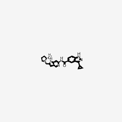 C[C@H]1CCCN1Cc1cc2cnc(NC(=O)c3ccc4[nH]nc(C5CC5)c4c3)cc2[nH]1